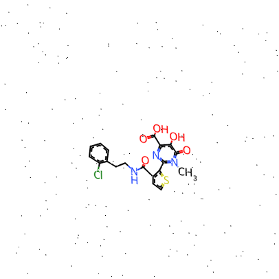 Cn1c(-c2sccc2C(=O)NCCc2ccccc2Cl)nc(C(=O)O)c(O)c1=O